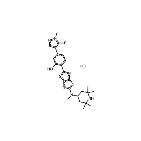 CN(c1nc2sc(-c3ccc(-c4cnn(C)c4F)cc3O)nc2s1)C1CC(C)(C)NC(C)(C)C1.Cl